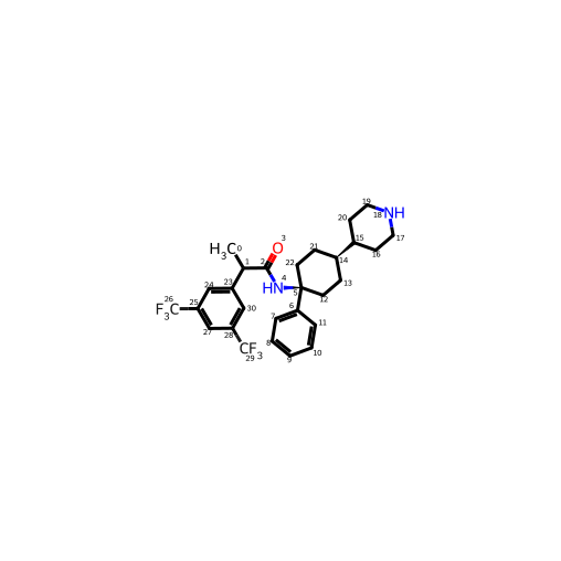 CC(C(=O)N[C@]1(c2ccccc2)CC[C@H](C2CCNCC2)CC1)c1cc(C(F)(F)F)cc(C(F)(F)F)c1